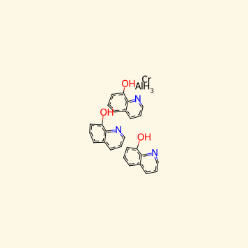 Oc1cccc2cccnc12.Oc1cccc2cccnc12.Oc1cccc2cccnc12.[AlH3].[Cr]